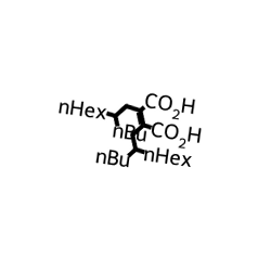 CCCCCCC(CCCC)CC(C(=O)O)=C(CC(CCCC)CCCCCC)C(=O)O